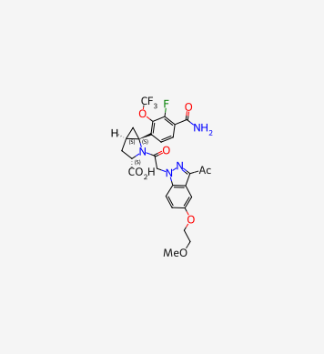 COCCOc1ccc2c(c1)c(C(C)=O)nn2CC(=O)N1[C@H](C(=O)O)C[C@H]2C[C@@]21c1ccc(C(N)=O)c(F)c1OC(F)(F)F